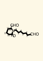 O=CCCCCCCN1C(=O)CCC[C@@H]1C=O